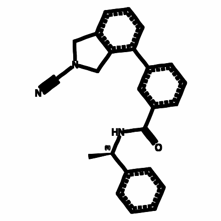 C[C@@H](NC(=O)c1cccc(-c2cccc3c2CN(C#N)C3)c1)c1ccccc1